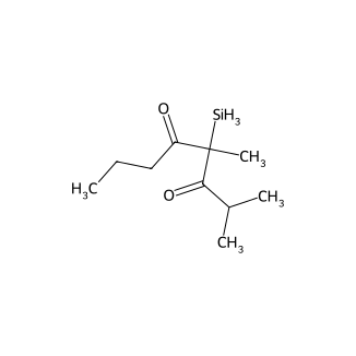 CCCC(=O)C(C)([SiH3])C(=O)C(C)C